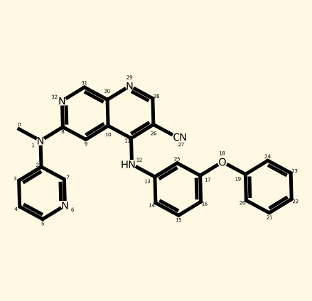 CN(c1cccnc1)c1cc2c(Nc3cccc(Oc4ccccc4)c3)c(C#N)cnc2cn1